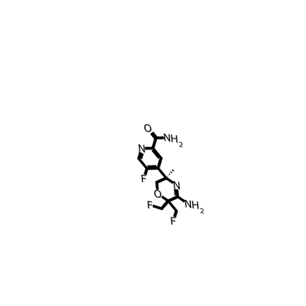 C[C@@]1(c2cc(C(N)=O)ncc2F)COC(CF)(CF)C(N)=N1